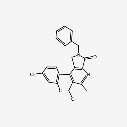 Cc1nc2c(c(-c3ccc(Cl)cc3Cl)c1CO)CN(Cc1ccccc1)C2=O